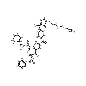 CCCCCCCO[C@@H]1CCN(C(=O)c2ccc(C(=O)N3C[C@@H](C(=O)N[C@H]4C[C@@H]4c4ccccc4)[C@H](C(=O)N[C@H]4C[C@@H]4c4ccccc4)C3)cc2)C1